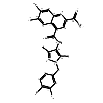 Cc1nn(Cc2ccc(F)c(F)c2)c(C)c1NC(=O)c1cc(C(N)=O)nc2cc(F)c(Cl)cc12